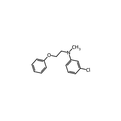 CN(CCOc1ccccc1)c1cccc(Cl)c1